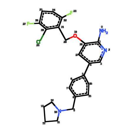 Nc1ncc(-c2ccc([CH]N3CCCC3)cc2)cc1OCc1c(F)ccc(F)c1Cl